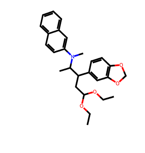 CCOC(CC(c1ccc2c(c1)OCO2)C(C)N(C)c1ccc2ccccc2c1)OCC